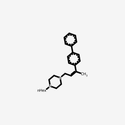 CCCCCCN1CCN(CC=C(C)c2ccc(-c3ccccc3)cc2)CC1